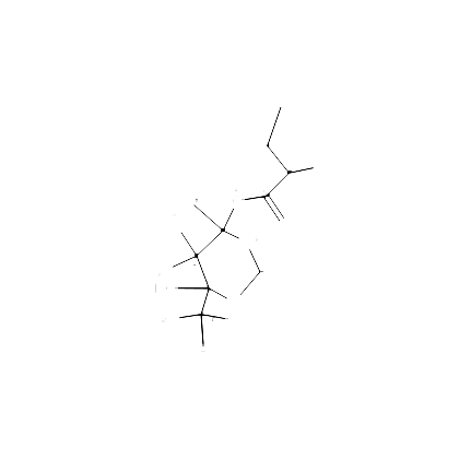 CCC(C)C(=O)OC1(C)OCOC(O)(C(F)(F)F)C1(F)F